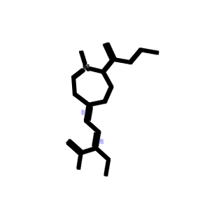 C=C(C)/C(=C\C=C1/CCC(C(=C)CCC)N(C)CC1)CC